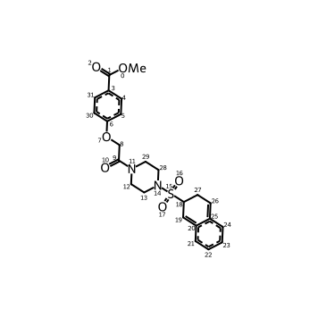 COC(=O)c1ccc(OCC(=O)N2CCN(S(=O)(=O)C3C=c4ccccc4=CC3)CC2)cc1